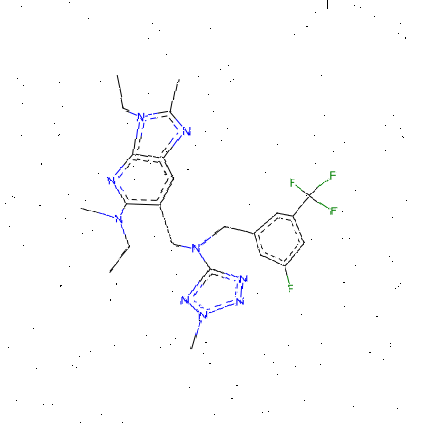 CCN(C)c1nc2c(cc1CN(Cc1cc(F)cc(C(F)(F)F)c1)c1nnn(C)n1)nc(C)n2CC